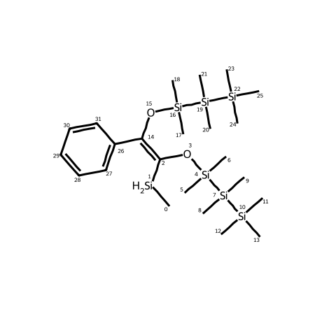 C[SiH2]C(O[Si](C)(C)[Si](C)(C)[Si](C)(C)C)=C(O[Si](C)(C)[Si](C)(C)[Si](C)(C)C)c1ccccc1